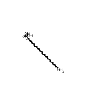 NCCCCCCCCCCCCCCCCCCCCCCCOP(=O)(O)O